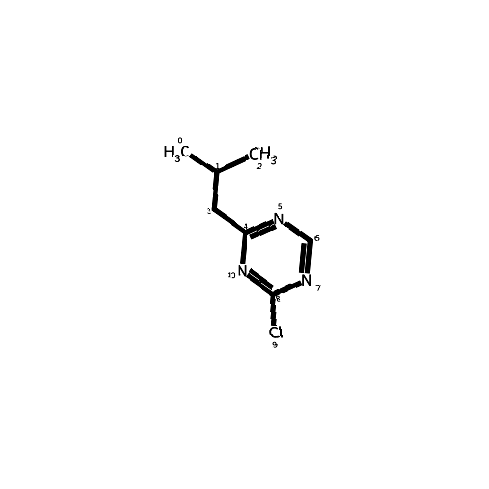 CC(C)Cc1ncnc(Cl)n1